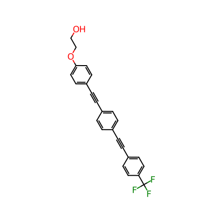 OCCOc1ccc(C#Cc2ccc(C#Cc3ccc(C(F)(F)F)cc3)cc2)cc1